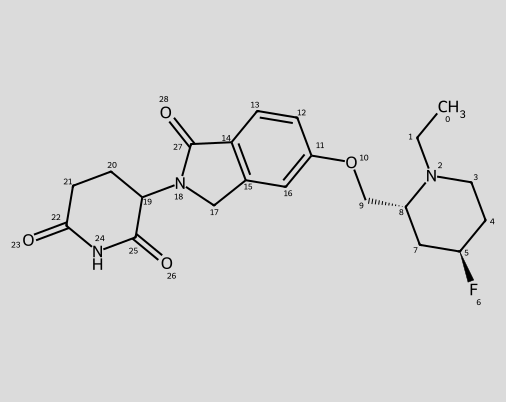 CCN1CC[C@@H](F)C[C@@H]1COc1ccc2c(c1)CN(C1CCC(=O)NC1=O)C2=O